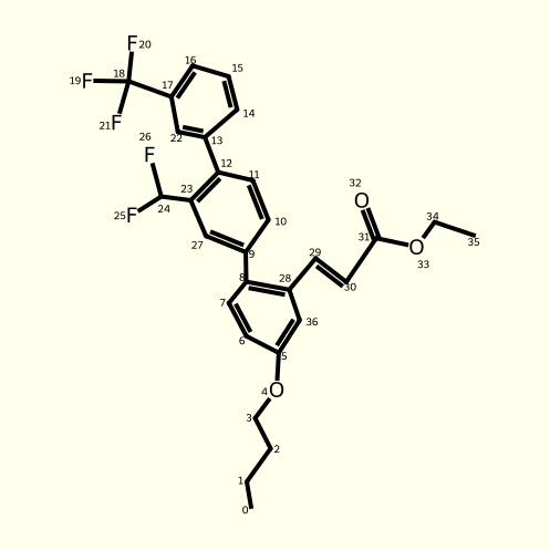 CCCCOc1ccc(-c2ccc(-c3cccc(C(F)(F)F)c3)c(C(F)F)c2)c(/C=C/C(=O)OCC)c1